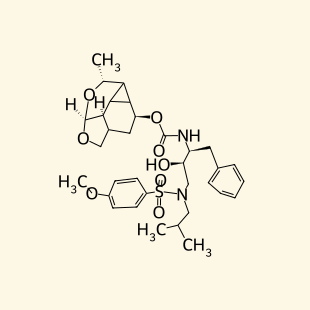 COc1ccc(S(=O)(=O)N(CC(C)C)C[C@@H](O)[C@H](Cc2ccccc2)NC(=O)O[C@H]2CC3CO[C@H]4O[C@H](C)C5C(C52)[C@@H]34)cc1